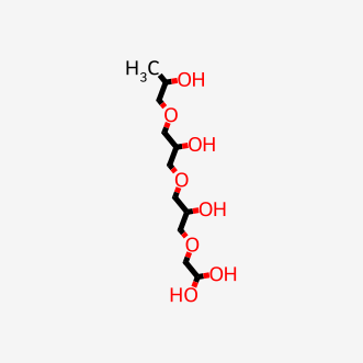 CC(O)COCC(O)COCC(O)COCC(O)O